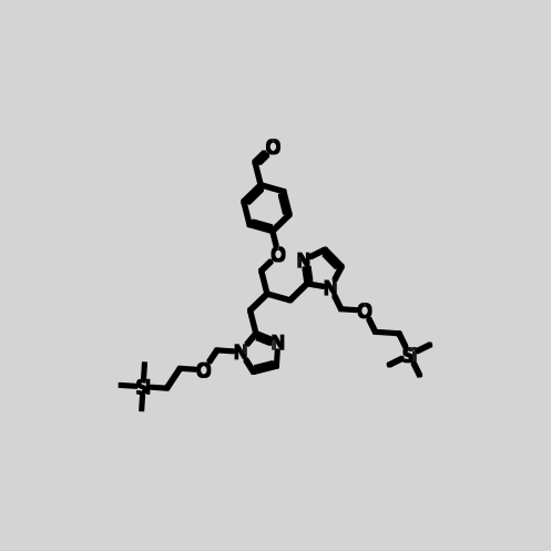 C[Si](C)(C)CCOCn1ccnc1CC(COc1ccc(C=O)cc1)Cc1nccn1COCC[Si](C)(C)C